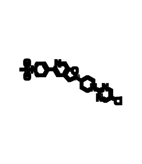 CS(=O)(=O)N1CC=C(c2cc3c(cn2)O[C@@H](C2CCN(c4ncc(Cl)cn4)CC2)C3)CC1